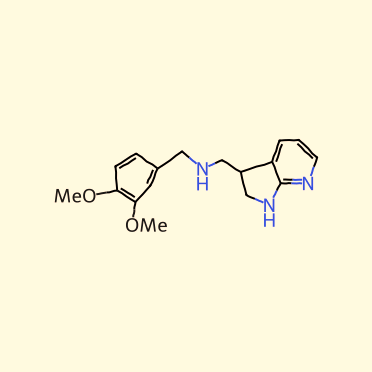 COc1ccc(CNCC2CNc3ncccc32)cc1OC